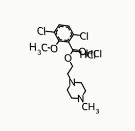 COc1c(Cl)ccc(Cl)c1C(=O)OCCN1CCN(C)CC1.Cl.Cl